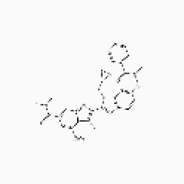 COc1cc(C(=O)N(C)C)cc2nc(-c3cc4ccc([C@@H](C)N(C)C(=O)c5ccccc5)nc4n3CC3CC3)c(C)n12